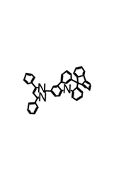 c1ccc(-c2cc(-c3ccccc3)nc(-c3ccc4c(c3)c3cccc5c3n4-c3ccccc3C53c4ccccc4-c4ccccc43)n2)cc1